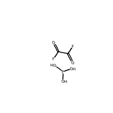 O=C(F)C(=O)F.OP(O)O